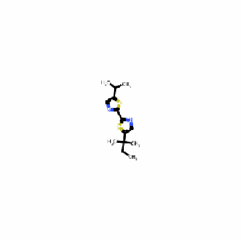 CCC(C)(C)c1cnc(-c2ncc(C(C)C)s2)s1